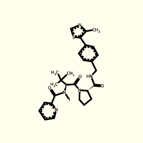 Cc1ncsc1-c1ccc(CNC(=O)[C@@H]2CCCN2C(=O)[C@@H](N(I)C(=O)c2ccccn2)C(C)(C)C)cc1